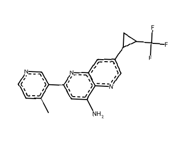 Cc1ccncc1-c1cc(N)c2ncc(C3CC3C(F)(F)F)cc2n1